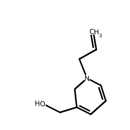 C=CCN1C=CC=C(CO)C1